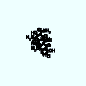 C[C@H]1c2ccc(Cl)c(O)c2C(=O)C2=C(O)[C@]3(O)C(=O)C(C(N)=O)=C(O)[C@@H](N(C)C)[C@@H]3[C@@H](O)[C@@H]21